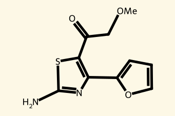 COCC(=O)c1sc(N)nc1-c1ccco1